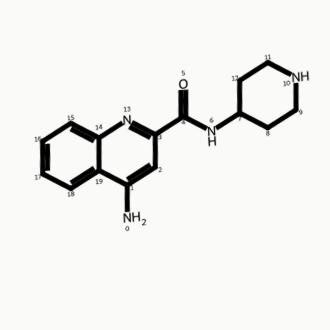 Nc1cc(C(=O)NC2CCNCC2)nc2ccccc12